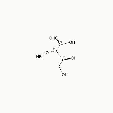 Br.O=C[C@@H](O)[C@@H](O)[C@@H](O)CO